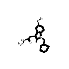 CCOc1ccc2c(c1)c(CC(=O)NN)c(C)n2Cc1ccccc1